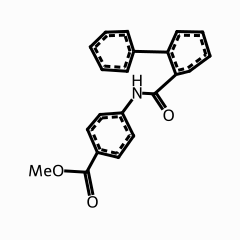 COC(=O)c1ccc(NC(=O)c2ccccc2-c2ccccc2)cc1